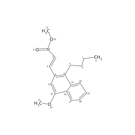 CCCCc1c(C=CC(=O)OC)cc(OC)c2ccccc12